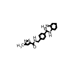 Cc1cc(C(=O)NCc2ccc(C(=O)Nc3ccccc3N)cc2)sn1